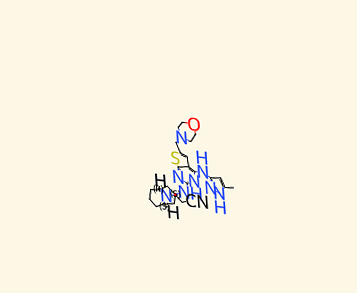 Cc1cc(Nc2nc(N[C@@H]3C[C@H]4CCC[C@@H](C3)N4CCC#N)nc3sc(CN4CCOCC4)cc23)n[nH]1